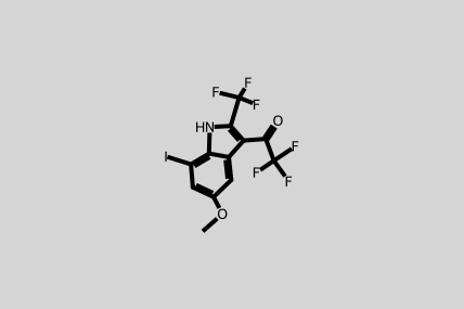 COc1cc(I)c2[nH]c(C(F)(F)F)c(C(=O)C(F)(F)F)c2c1